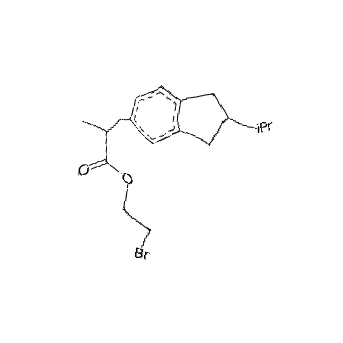 CC(C(=O)OCCBr)c1ccc2c(c1)CC(C(C)C)C2